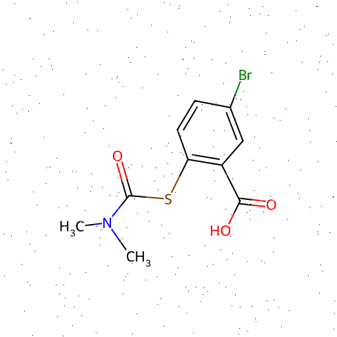 CN(C)C(=O)Sc1ccc(Br)cc1C(=O)O